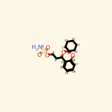 NS(=O)(=O)OCCC1OC2(CCCCC2)Oc2ccccc21